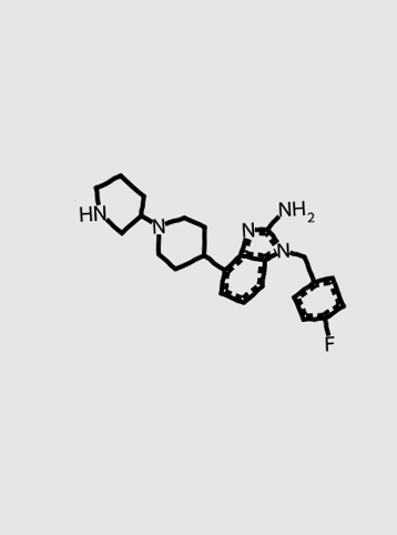 Nc1nc2c(C3CCN(C4CCCNC4)CC3)cccc2n1Cc1ccc(F)cc1